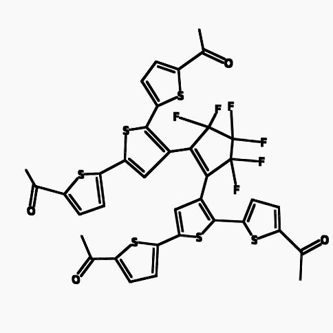 CC(=O)c1ccc(-c2cc(C3=C(c4cc(-c5ccc(C(C)=O)s5)sc4-c4ccc(C(C)=O)s4)C(F)(F)C(F)(F)C3(F)F)c(-c3ccc(C(C)=O)s3)s2)s1